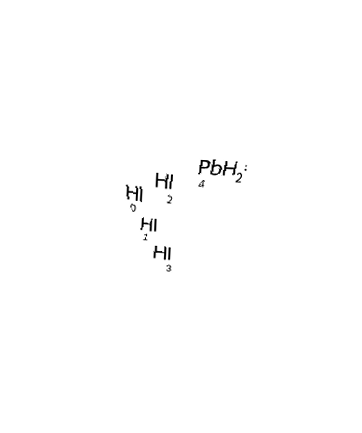 I.I.I.I.[PbH2]